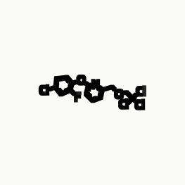 Fc1cc(Cl)ccc1Oc1cccc(COCC(Cl)(Cl)Cl)n1